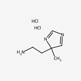 CC1(CCN)C=NC=N1.Cl.Cl